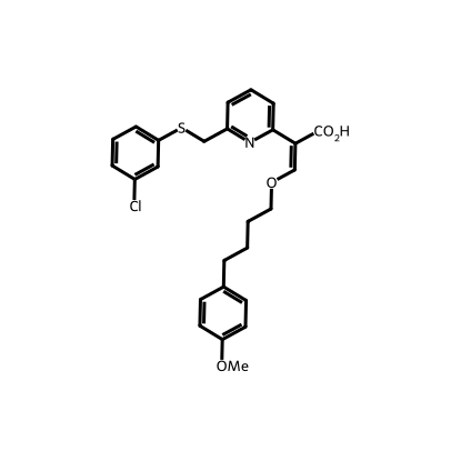 COc1ccc(CCCCOC=C(C(=O)O)c2cccc(CSc3cccc(Cl)c3)n2)cc1